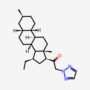 CC[C@@H]1C[C@H](C(=O)Cn2nccn2)[C@@]2(C)CC[C@@H]3[C@H]4CC[C@H](C)C[C@H]4CC[C@H]3C12